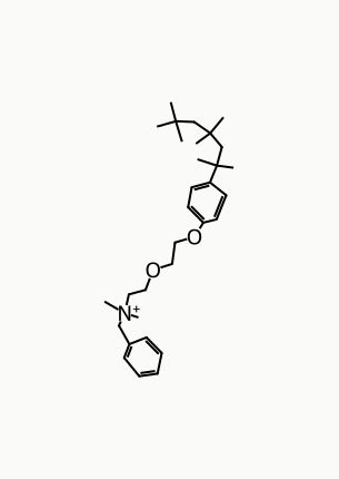 CC(C)(C)CC(C)(C)CC(C)(C)c1ccc(OCCOCC[N+](C)(C)Cc2ccccc2)cc1